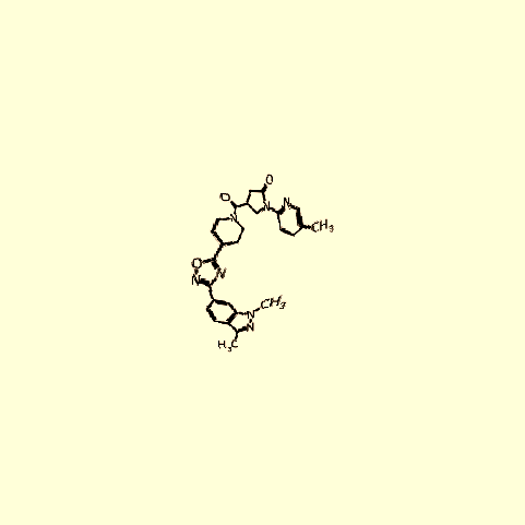 Cc1ccc(N2CC(C(=O)N3CCC(c4nc(-c5ccc6c(C)nn(C)c6c5)no4)CC3)CC2=O)nc1